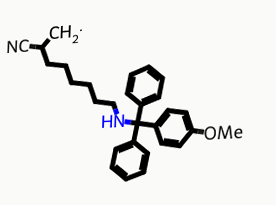 [CH2]C(C#N)CCCCCCNC(c1ccccc1)(c1ccccc1)c1ccc(OC)cc1